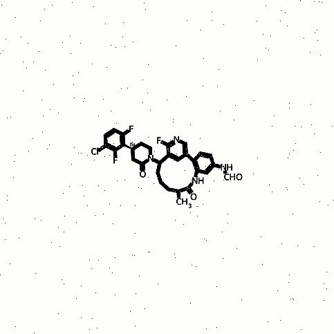 CC1CCCC(N2CC[C@H](c3c(F)ccc(Cl)c3F)CC2=O)c2cc(cnc2F)-c2ccc(NC=O)cc2NC1=O